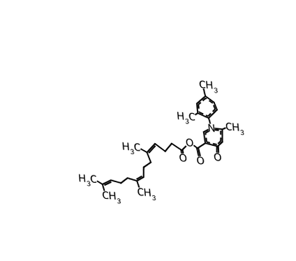 CC(C)=CCCC(C)=CCCC(C)=CCCC(=O)OC(=O)c1cn(-c2ccc(C)cc2C)c(C)cc1=O